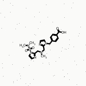 CN(Cc1nccn1Cc1ccc(C(=O)O)cc1)Cc1nccn1S(=O)(=O)N(C)C